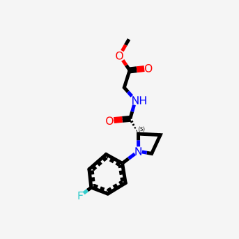 COC(=O)CNC(=O)[C@@H]1CCN1c1ccc(F)cc1